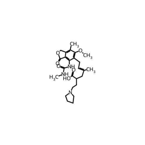 CNC(=O)Nc1c(C/C=C(\C)CC(CCN2CCCC2)C(=O)O)c(OC)c(C)c2c1C(=O)OC2